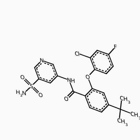 CC(C)(C)c1ccc(C(=O)Nc2cncc(S(N)(=O)=O)c2)c(Oc2ccc(F)cc2Cl)c1